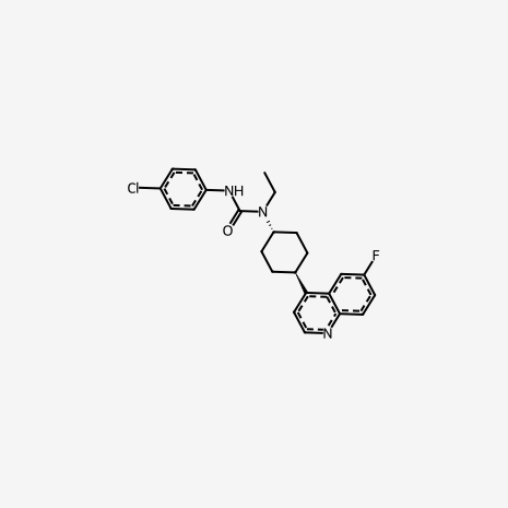 CCN(C(=O)Nc1ccc(Cl)cc1)[C@H]1CC[C@H](c2ccnc3ccc(F)cc32)CC1